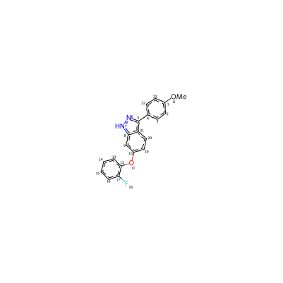 COc1ccc(-c2n[nH]c3cc(Oc4ccccc4F)ccc23)cc1